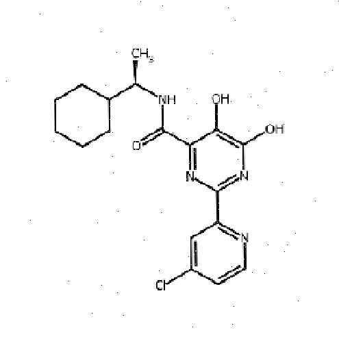 C[C@@H](NC(=O)c1nc(-c2cc(Cl)ccn2)nc(O)c1O)C1CCCCC1